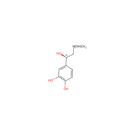 CN(O)C[C@H](O)c1ccc(O)c(O)c1